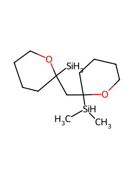 C[SiH](C)C1(CC2([SiH3])CCCCO2)CCCCO1